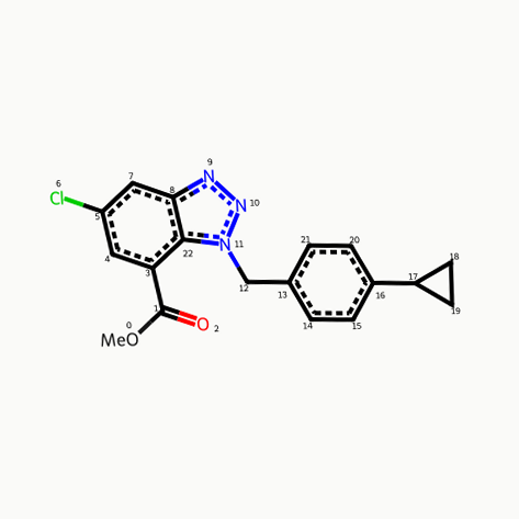 COC(=O)c1cc(Cl)cc2nnn(Cc3ccc(C4CC4)cc3)c12